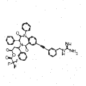 N=C(N)NCc1cccc(C#Cc2ccc3c(c2)C(=O)N(C(CC(=O)OC(=O)C(F)(F)F)c2ccccc2)C(c2ccccc2)C(=O)N3c2ccccc2)c1